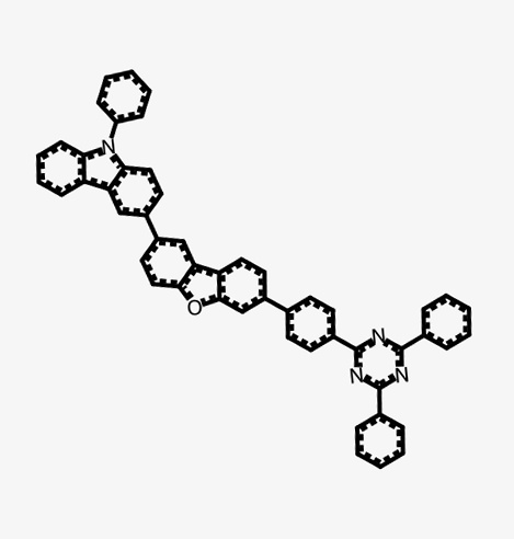 c1ccc(-c2nc(-c3ccccc3)nc(-c3ccc(-c4ccc5c(c4)oc4ccc(-c6ccc7c(c6)c6ccccc6n7-c6ccccc6)cc45)cc3)n2)cc1